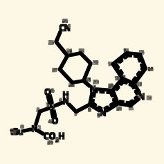 CC(C)(C)N(CS(=O)(=O)NCc1nc2cnc3ccccc3c2n1C1CCC(CC#N)CC1)C(=O)O